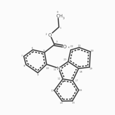 CCOC(=O)c1ccccc1-n1c2ccccc2c2ccccc21